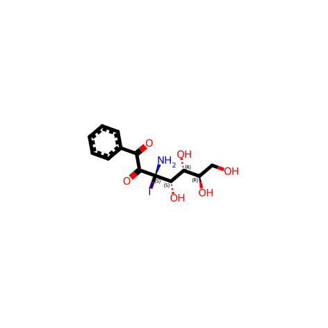 N[C@@](I)(C(=O)C(=O)c1ccccc1)[C@@H](O)[C@H](O)[C@H](O)CO